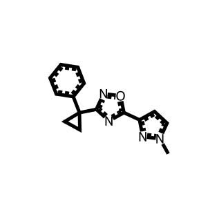 Cn1ccc(-c2nc(C3(c4ccccc4)CC3)no2)n1